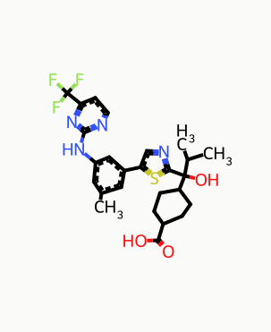 Cc1cc(Nc2nccc(C(F)(F)F)n2)cc(-c2cnc(C(O)(C(C)C)C3CCC(C(=O)O)CC3)s2)c1